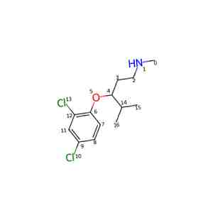 CNCCC(Oc1ccc(Cl)cc1Cl)C(C)C